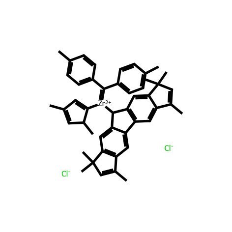 CC1=CC(C)[C]([Zr+2](=[C](c2ccc(C)cc2)c2ccc(C)cc2)[CH]2c3cc4c(cc3-c3cc5c(cc32)C(C)(C)C=C5C)C(C)=CC4(C)C)=C1.[Cl-].[Cl-]